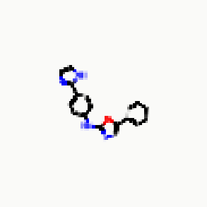 c1ccc(-c2cnc(Nc3ccc(-c4ncc[nH]4)cc3)o2)cc1